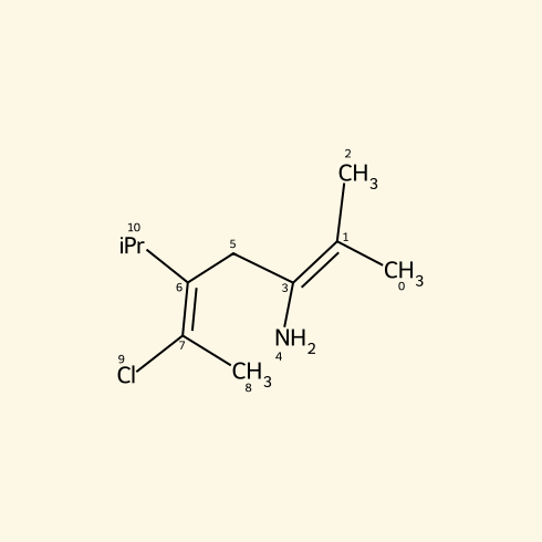 CC(C)=C(N)C/C(=C(\C)Cl)C(C)C